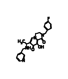 CC(NCc1cccnc1)c1cn2c(c(O)c1=O)C(=O)N(Cc1ccc(F)cc1)CC2